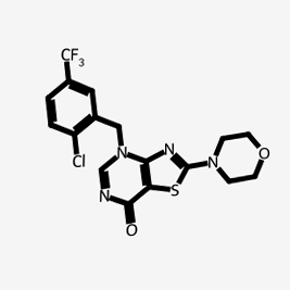 O=c1ncn(Cc2cc(C(F)(F)F)ccc2Cl)c2nc(N3CCOCC3)sc12